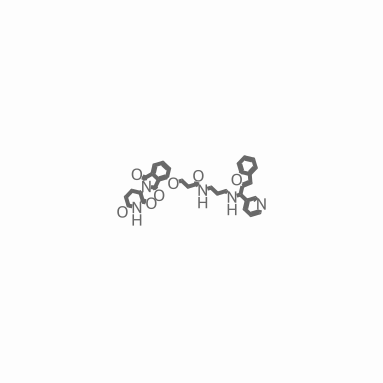 O=C(CCOc1cccc2c1C(=O)N(C1CCC(=O)NC1=O)C2=O)NCCCNC(c1cccnc1)c1cc2ccccc2o1